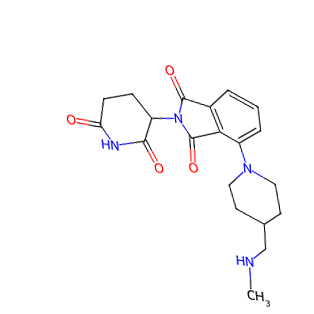 CNCC1CCN(c2cccc3c2C(=O)N(C2CCC(=O)NC2=O)C3=O)CC1